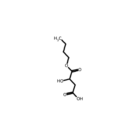 CCCCOC(=O)C(O)CC(=O)O